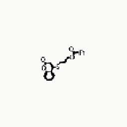 CC(C)C(=O)OCCCSc1cc(=O)oc2ccccc12